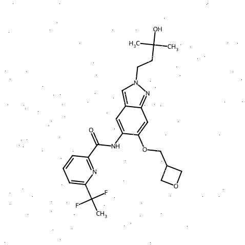 CC(C)(O)CCn1cc2cc(NC(=O)c3cccc(C(C)(F)F)n3)c(OCC3COC3)cc2n1